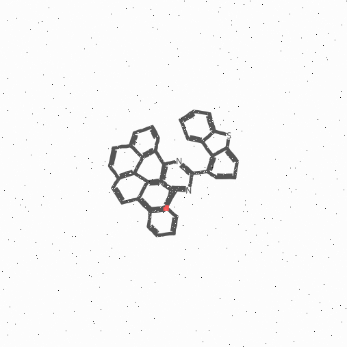 c1ccc(-c2nc(-c3cccc4sc5ccccc5c34)nc(-c3cccc4ccc5ccc6ccccc6c5c34)n2)cc1